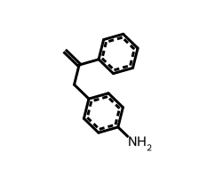 C=C(Cc1ccc(N)cc1)c1ccccc1